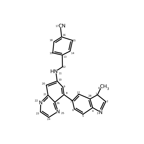 CC1C=Nc2ccc(-c3cc(NCc4ccc(C#N)cc4)cc4nccnc34)cc21